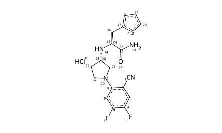 Cl.N#Cc1cc(F)c(F)cc1N1CC[C@H](N[C@@H](Cc2cccs2)C(N)=O)C1